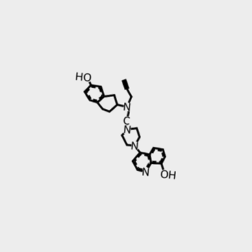 C#CCN(CCN1CCN(c2ccnc3c(O)cccc23)CC1)C1CCc2ccc(O)cc2C1